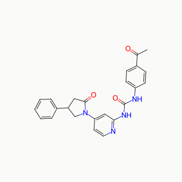 CC(=O)c1ccc(NC(=O)Nc2cc(N3CC(c4ccccc4)CC3=O)ccn2)cc1